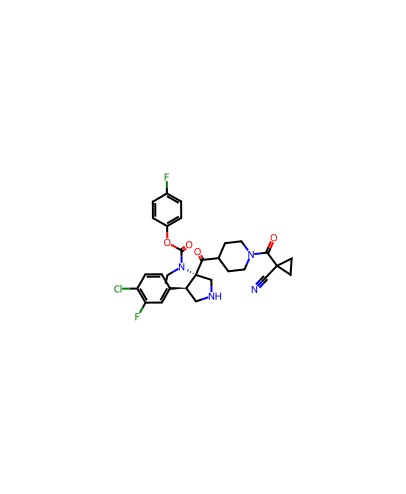 CCN(C(=O)Oc1ccc(F)cc1)[C@]1(C(=O)C2CCN(C(=O)C3(C#N)CC3)CC2)CNC[C@H]1c1ccc(Cl)c(F)c1